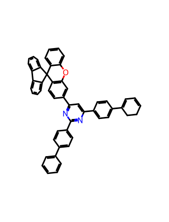 C1=CCCC(c2ccc(-c3cc(-c4ccc5c(c4)Oc4ccccc4C54c5ccccc5-c5ccccc54)nc(-c4ccc(-c5ccccc5)cc4)n3)cc2)=C1